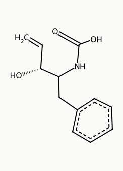 C=C[C@@H](O)C(Cc1ccccc1)NC(=O)O